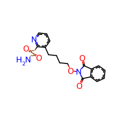 NS(=O)(=O)c1ncccc1CCCCON1C(=O)c2ccccc2C1=O